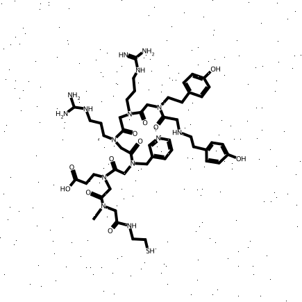 CN(CC(=O)NCCS)C(=O)CN(CCC(=O)O)C(=O)CN(Cc1cccnc1)C(=O)CN(CCCNC(N)N)C(=O)CN(CCCNC(=N)N)C(=O)CN(CCc1ccc(O)cc1)C(=O)CNCCc1ccc(O)cc1